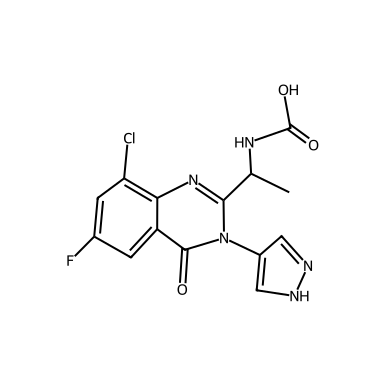 CC(NC(=O)O)c1nc2c(Cl)cc(F)cc2c(=O)n1-c1cn[nH]c1